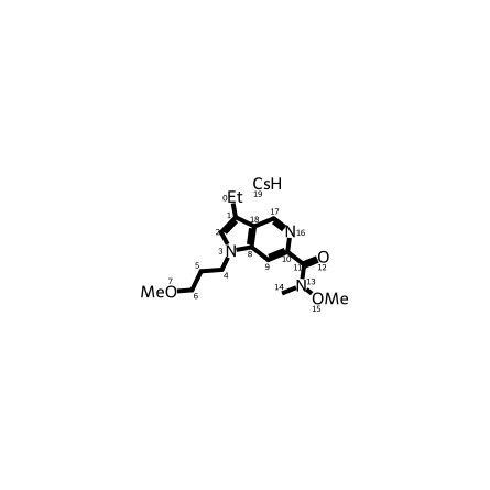 CCc1cn(CCCOC)c2cc(C(=O)N(C)OC)ncc12.[CsH]